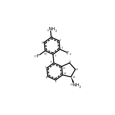 Nc1cc(F)c(-c2cccc3c2CC[C@H]3N)c(F)c1